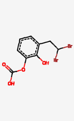 O=C(O)Oc1cccc(CC(Br)Br)c1O